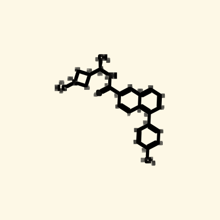 C[C@@H](NC(=O)c1ccc2c(-c3ccc(C(F)(F)F)cc3)cccc2c1)C1CN(C)C1